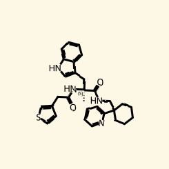 C[C@@](Cc1c[nH]c2ccccc12)(NC(=O)Cc1ccsc1)C(=O)NCC1(c2ccccn2)CCCCC1